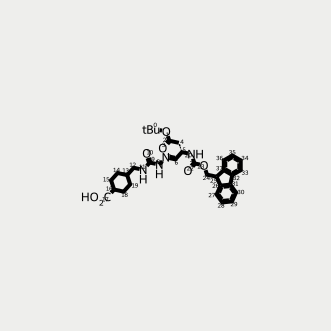 CC(C)(C)OC(=O)C[C@@H](/C=N/NC(=O)NCC1CCC(C(=O)O)CC1)NC(=O)OCC1c2ccccc2-c2ccccc21